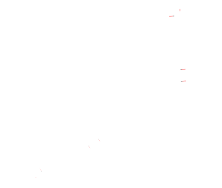 O=C(O)CCCCCCCCC(=O)OC(=O)CCCCCCCCCCCCCCCCC(=O)OC(=O)CCCCCCCCC(=O)O